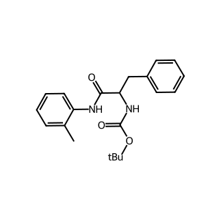 Cc1ccccc1NC(=O)C(Cc1ccccc1)NC(=O)OC(C)(C)C